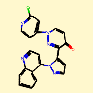 O=c1ccn(-c2ccnc(Cl)c2)nc1-c1ccnn1-c1ccnc2ccccc12